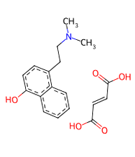 CN(C)CCc1ccc(O)c2ccccc12.O=C(O)/C=C/C(=O)O